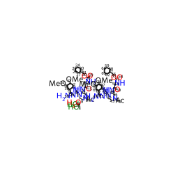 COc1cc2nc(N3CCN(C(C)=O)CC3NC(=O)CNC(=O)OCc3ccccc3)nc(N)c2cc1OC.COc1cc2nc(N3CCN(C(C)=O)CC3NC(=O)CNC(=O)OCc3ccccc3)nc(N)c2cc1OC.Cl.Cl.O